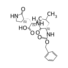 CC(C)C[C@H](NC(=O)OCc1ccccc1)C(=O)N[C@@H](C[C@@H]1CCNC1=O)C(=O)O